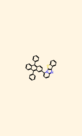 c1ccc(-c2c3ccccc3c(-c3ccccc3)c3cc(-c4cccc5nc6c7ccccc7sc6n45)ccc23)cc1